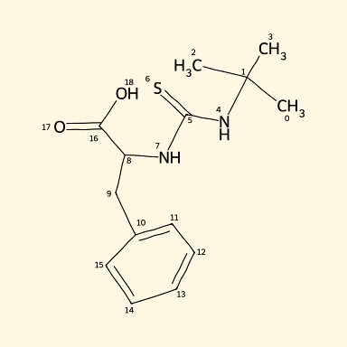 CC(C)(C)NC(=S)NC(Cc1ccccc1)C(=O)O